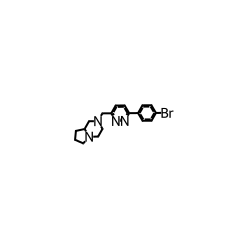 Brc1ccc(-c2ccc(CN3CCN4CCCC4C3)nn2)cc1